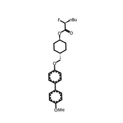 CCCC[C@H](F)C(=O)O[C@H]1CC[C@H](COc2ccc(-c3ccc(OC)cc3)cc2)CC1